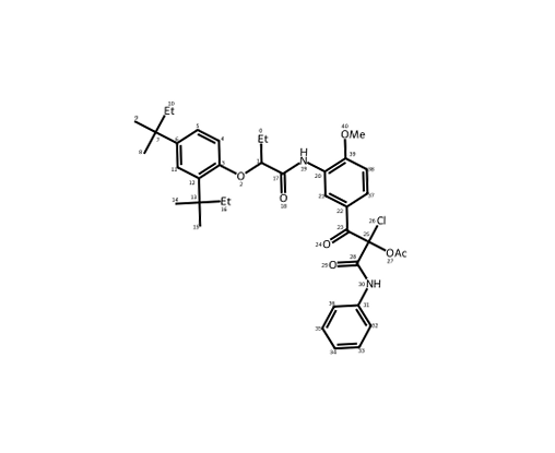 CCC(Oc1ccc(C(C)(C)CC)cc1C(C)(C)CC)C(=O)Nc1cc(C(=O)C(Cl)(OC(C)=O)C(=O)Nc2ccccc2)ccc1OC